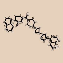 O=C(c1ccc(-c2cccc3cnccc23)c(F)c1)N1CCC(N2CC(n3cc(-c4ncnc5[nH]ccc45)cn3)C2)CC1